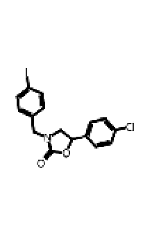 O=C1OC(c2ccc(Cl)cc2)CN1Cc1ccc(I)cc1